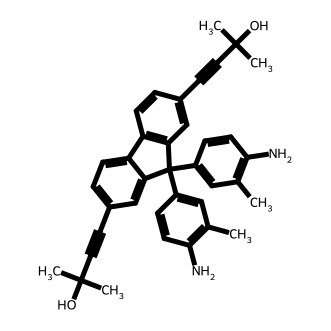 Cc1cc(C2(c3ccc(N)c(C)c3)c3cc(C#CC(C)(C)O)ccc3-c3ccc(C#CC(C)(C)O)cc32)ccc1N